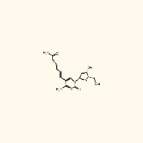 CC(=O)OCCC=Cc1cn([C@H]2C[C@H](O)[C@@H](CO)O2)c(=O)nc1N